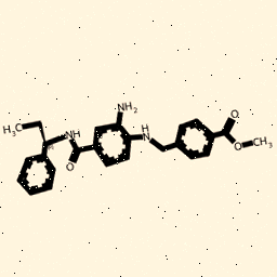 CC[C@@H](NC(=O)c1ccc(NCc2ccc(C(=O)OC)cc2)c(N)c1)c1ccccc1